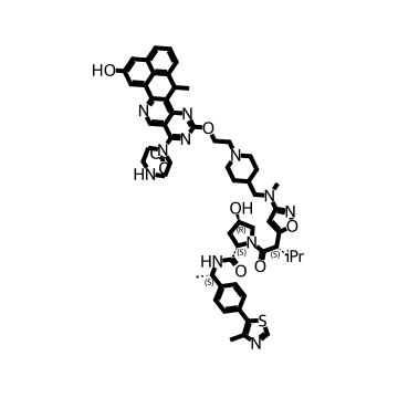 Cc1ncsc1-c1ccc([C@H](C)NC(=O)[C@@H]2C[C@@H](O)CN2C(=O)[C@H](c2cc(N(C)CC3CCN(CCOc4nc(N5CC6CCCC5CN6)c5cnc6c(c5n4)C(C)c4cccc5cc(O)cc-6c45)CC3)no2)C(C)C)cc1